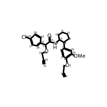 C#CCOc1ccc(C2CCCCC2NC(=O)C(OCC#C)c2ccc(Cl)cc2)cc1OC